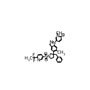 Cc1cc2c(cnn2-c2ccc(=O)n(C)c2)cc1C1(Cc2ccccc2)CCN(S(=O)(=O)c2ccc(C(C)(F)F)nc2)C1